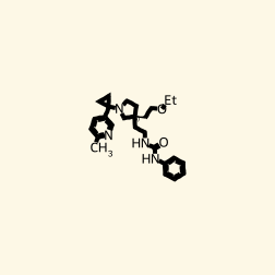 CCOCC[C@]1(CCNC(=O)Nc2ccccc2)CCN(C2(c3ccc(C)nc3)CC2)C1